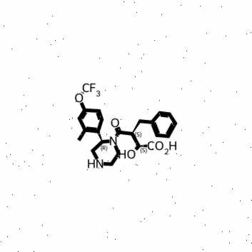 Cc1cc(OC(F)(F)F)ccc1[C@@H]1CNCCN1C(=O)[C@@H](Cc1ccccc1)[C@H](O)C(=O)O